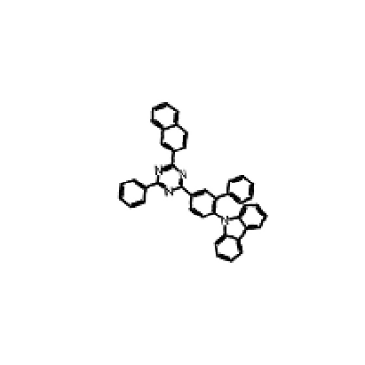 c1ccc(-c2nc(-c3ccc(-n4c5ccccc5c5ccccc54)c(-c4ccccc4)c3)nc(-c3ccc4ccccc4c3)n2)cc1